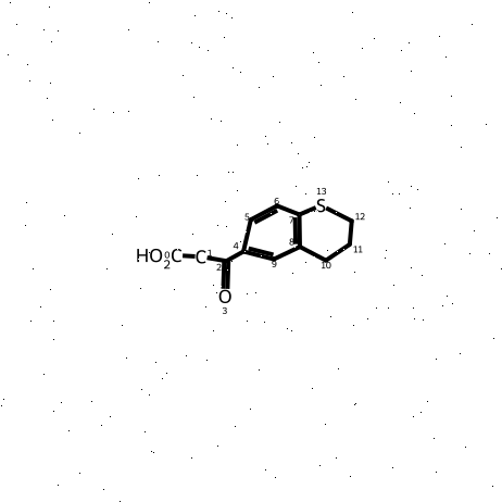 O=C(O)CC(=O)c1ccc2c(c1)CCCS2